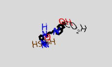 O=C(CCCN1CCCc2cc(C(O)C(=O)O)ccc21)Nc1cccc(-n2c(S)nnc2S)c1